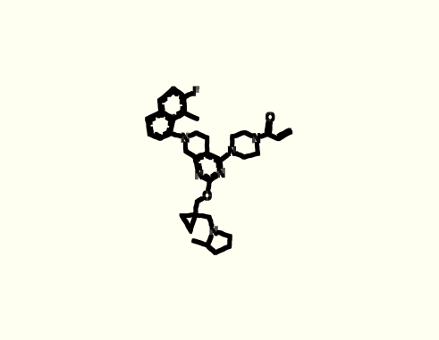 C=CC(=O)N1CCN(c2nc(OCC3(CN4CCCC4C)CC3)nc3c2CCN(c2cccc4ccc(F)c(C)c24)C3)CC1